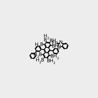 Bc1c(B)c(B)c2c(-c3cccc(-n4c(CC)nc5ccccc54)c3)c3c(B)c(B)c(B)c(B)c3c(-c3cccc(-c4ccccc4)c3)c2c1B